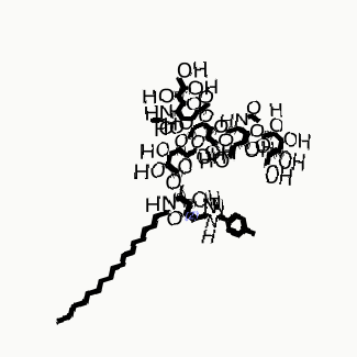 CCCCCCCCCCCCCCCCCC(=O)N[C@@H](CO[C@@H]1OC(CO)[C@@H](O[C@@H]2OC(CO)[C@H](O[C@@H]3OC(CO)[C@H](O)C(O[C@@H]4OC(CO)[C@H](O)C(O)C4O)C3NC(C)=O)C(O[C@]3(C=O)CC(O)[C@@H](NC(C)=O)C([C@H](O)[C@H](O)CO)O3)C2O)C(O)C1O)[C@H](O)/C=C\c1nnc(-c2ccc(C)cc2)[nH]1